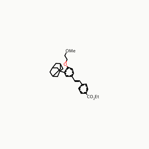 CCOC(=O)c1ccc(/C=C/c2ccc(OCCOC)c(C34CC5CC(CC(C5)C3)C4)c2)cc1